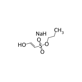 CCCOS(=O)(=O)C=CO.[NaH]